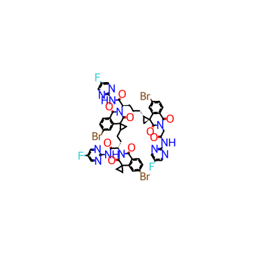 O=C(CN1C(=O)c2ccc(Br)cc2[C@]2(C[C@@H]2CCC[C@H](C(=O)Nc2ncc(F)cn2)N2C(=O)c3ccc(Br)cc3C3(CC3CC[C@@H](C(=O)Nc3ncc(F)cn3)N3C(=O)c4ccc(Br)cc4C4(CC4)C3=O)C2=O)C1=O)Nc1ncc(F)cn1